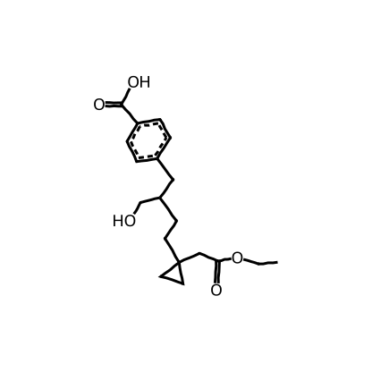 CCOC(=O)CC1(CCC(CO)Cc2ccc(C(=O)O)cc2)CC1